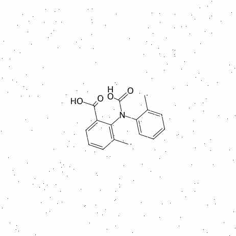 [CH2]c1ccccc1N(C(=O)O)c1c([CH2])cccc1C(=O)O